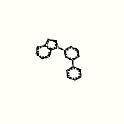 c1ccc(-c2cccc(-n3ccc4ccccc43)c2)cc1